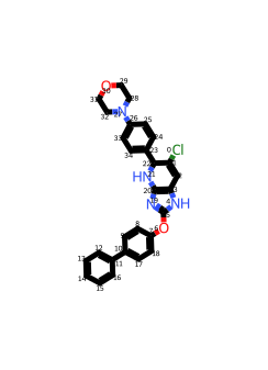 ClC1=Cc2[nH]c(Oc3ccc(-c4ccccc4)cc3)nc2NC1c1ccc(N2CCOCC2)cc1